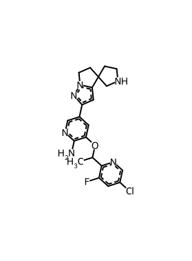 CC(Oc1cc(-c2cc3n(n2)CCC32CCNC2)cnc1N)c1ncc(Cl)cc1F